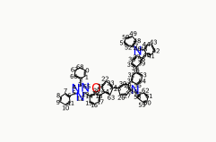 C1=CC(c2nc(-c3ccccc3)nc(-c3cccc4c3oc3ccc(-c5ccc6c(c5)c5cc(-c7ccc8c(c7)c7ccccc7n8-c7ccccc7)ccc5n6-c5ccccc5)cc34)n2)=CCC1